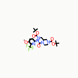 COc1ccc(N2C(=O)N3CCN(C(=O)OC(C)(C)C)CC3CN2C(=O)OC(C)(C)C)nc1C(F)(F)F